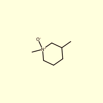 CC1CCC[N+](C)([O-])C1